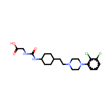 O=C(O)CNC(=O)NC1CCC(CCN2CCN(c3cccc(Cl)c3Cl)CC2)CC1